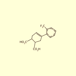 O=C(O)C1CC=C(c2ccccc2C(F)(F)F)CC1C(=O)O